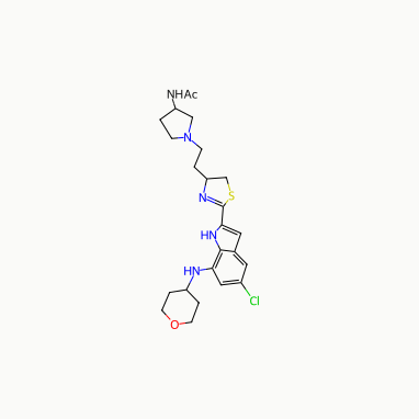 CC(=O)NC1CCN(CCC2CSC(c3cc4cc(Cl)cc(NC5CCOCC5)c4[nH]3)=N2)C1